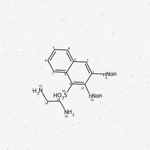 CCCCCCCCCc1cc2ccccc2c(S(=O)(=O)O)c1CCCCCCCCC.NCCN